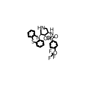 O=S(=O)(N[C@@H]1CNC[C@H](N2c3ccccc3Sc3ccccc32)[C@H]1O)c1ccc(OC(F)(F)F)cc1